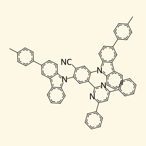 Cc1ccc(-c2ccc3c(c2)c2ccccc2n3-c2cc(-c3nc(-c4ccccc4)cc(-c4ccccc4)n3)c(-n3c4ccccc4c4cc(-c5ccc(C)cc5)ccc43)cc2C#N)cc1